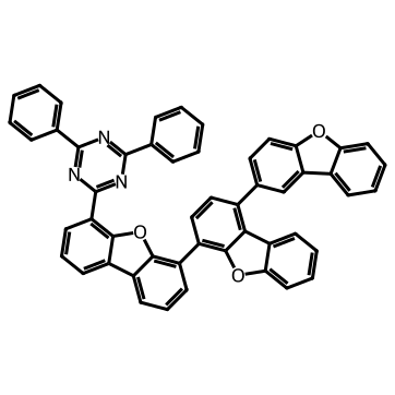 c1ccc(-c2nc(-c3ccccc3)nc(-c3cccc4c3oc3c(-c5ccc(-c6ccc7oc8ccccc8c7c6)c6c5oc5ccccc56)cccc34)n2)cc1